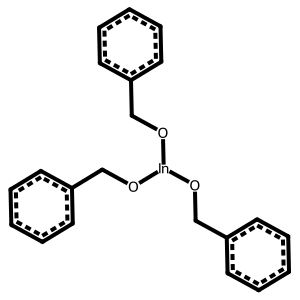 c1ccc(C[O][In]([O]Cc2ccccc2)[O]Cc2ccccc2)cc1